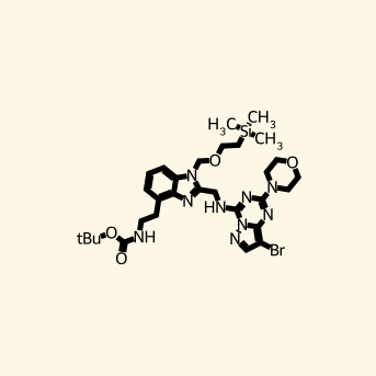 CC(C)(C)OC(=O)NCCc1cccc2c1nc(CNc1nc(N3CCOCC3)nc3c(Br)cnn13)n2COCC[Si](C)(C)C